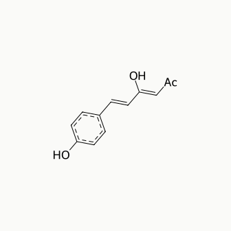 CC(=O)/C=C(O)/C=C/c1ccc(O)cc1